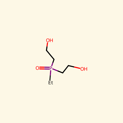 [CH2]CP(=O)(CCO)CCO